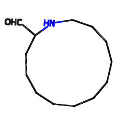 O=CC1CCCCCCCCCCCN1